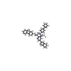 N/C(=N\C(=N/Cc1ccc2c(c1)oc1ccccc12)c1ccc(-c2ccc3ccccc3c2)cc1)c1ccc(-c2ccccc2)cc1